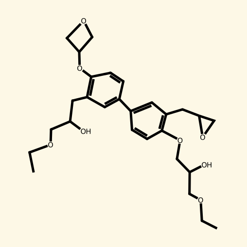 CCOCC(O)COc1ccc(-c2ccc(OC3COC3)c(CC(O)COCC)c2)cc1CC1CO1